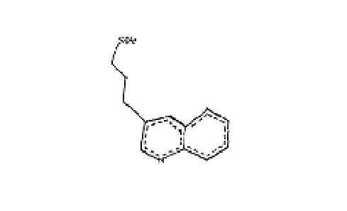 [CH2]SCCCc1cnc2ccccc2c1